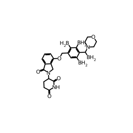 Bc1cc(COc2cccc3c2CN(C2CCC(=O)NC2=O)C3=O)c(B)c(B)c1C(B)N1CCOCC1